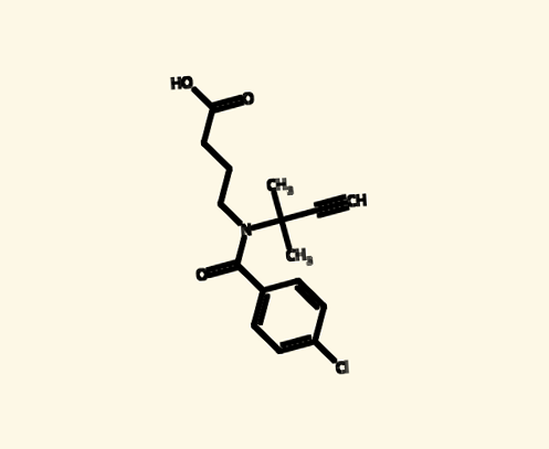 C#CC(C)(C)N(CCCC(=O)O)C(=O)c1ccc(Cl)cc1